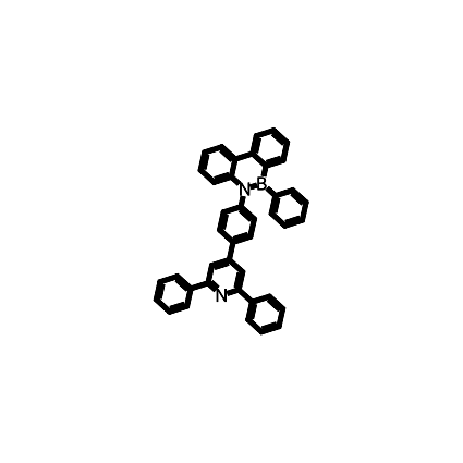 c1ccc(B2c3ccccc3-c3ccccc3N2c2ccc(-c3cc(-c4ccccc4)nc(-c4ccccc4)c3)cc2)cc1